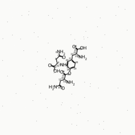 NC(=O)C[C@H](N)C(=O)O.NC(=O)C[C@H](N)C(=O)Oc1ccc(C[C@H](N)C(=O)O)cc1